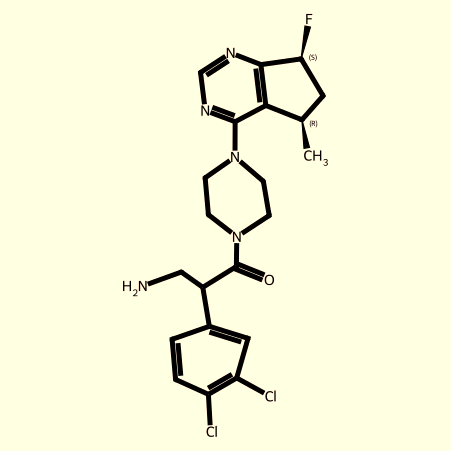 C[C@@H]1C[C@H](F)c2ncnc(N3CCN(C(=O)C(CN)c4ccc(Cl)c(Cl)c4)CC3)c21